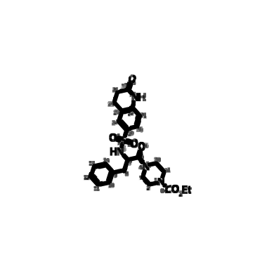 CCOC(=O)N1CCN(C(=O)C(Cc2ccccc2)NS(=O)(=O)c2ccc3c(c2)CCC(=O)N3)CC1